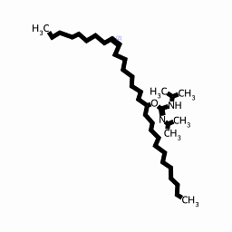 CCCCCCCC/C=C\CCCCCCCC(CCCCCCCCCCCC)OC(=NC(C)C)NC(C)C